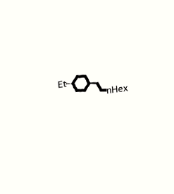 CCCCCCCC[C@H]1CC[C@H](CC)CC1